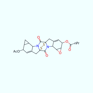 CCCC(=O)OC1C=C2CC34SSC5(CC6=CC(OC(C)=O)C7CC7C6N5C3=O)C(=O)N4C2C2OC12